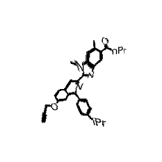 C#CCOc1ccc2cc(-c3nc4cc(C(=O)CCC)c(C)cc4n3C)nc(-c3ccc(C(C)C)cc3)c2c1